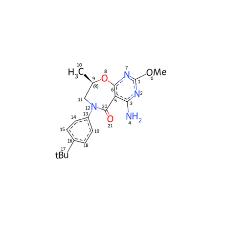 COc1nc(N)c2c(n1)O[C@H](C)CN(c1ccc(C(C)(C)C)cc1)C2=O